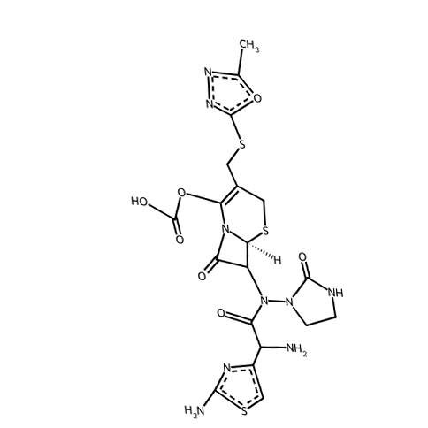 Cc1nnc(SCC2=C(OC(=O)O)N3C(=O)C(N(C(=O)C(N)c4csc(N)n4)N4CCNC4=O)[C@@H]3SC2)o1